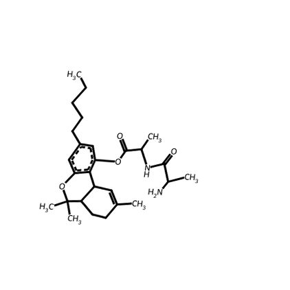 CCCCCc1cc(OC(=O)C(C)NC(=O)C(C)N)c2c(c1)OC(C)(C)C1CCC(C)=CC21